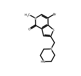 Cn1cc(Br)c2sc(CN3CCNCC3)cc2c1=O